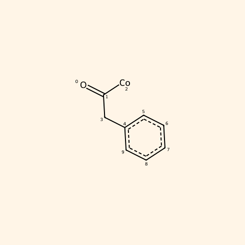 O=[C]([Co])Cc1ccccc1